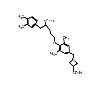 CCCCCC(CCCOc1c(C)cc(CN2CC(C(=O)O)C2)cc1C)Cc1ccc(C)c(C)c1